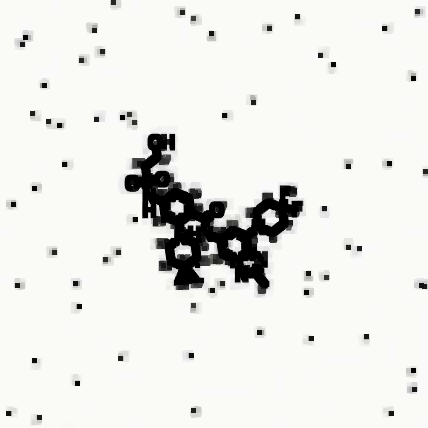 Cc1nc2c(N3CCC(F)(F)CC3)cc(NC(=O)c3ccc(NS(=O)(=O)CCO)cc3N3CCC4(CC3)CC4)cn2n1